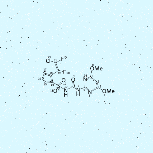 COc1cc(OC)nc(NC(=O)NS(=O)(=O)c2ccsc2C(F)=C(F)Cl)n1